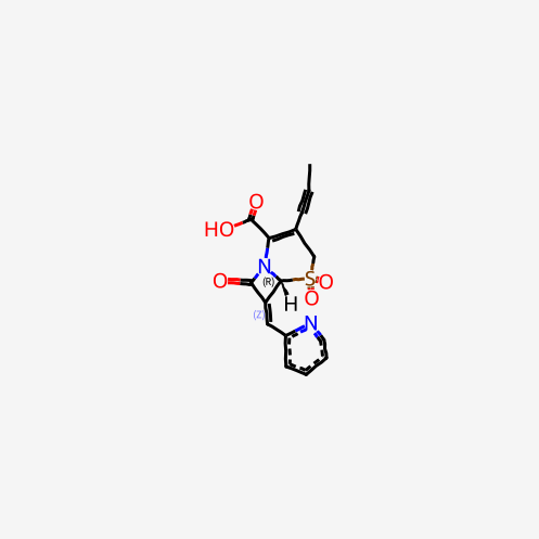 CC#CC1=C(C(=O)O)N2C(=O)/C(=C/c3ccccn3)[C@H]2S(=O)(=O)C1